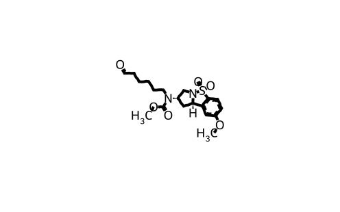 COC(=O)N(CCCCCC=O)[C@H]1C[C@@H]2c3cc(OC)ccc3S(=O)(=O)N2C1